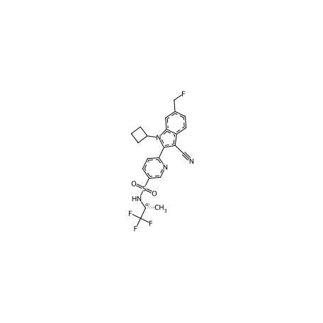 C[C@@H](NS(=O)(=O)c1ccc(-c2c(C#N)c3ccc(CF)cc3n2C2CCC2)nc1)C(F)(F)F